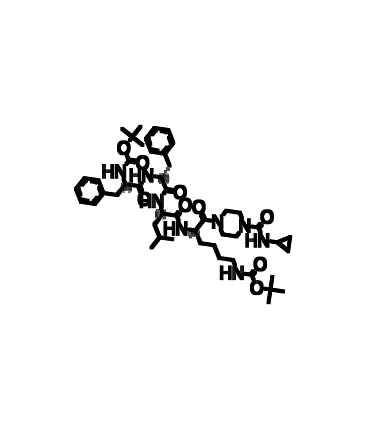 CC(C)C[C@@H](NC(=O)[C@@H](Cc1ccccc1)NC(=O)[C@@H](Cc1ccccc1)NC(=O)OC(C)(C)C)C(=O)N[C@H](CCCCNC(=O)OC(C)(C)C)C(=O)N1CCN(C(=O)NC2CC2)CC1